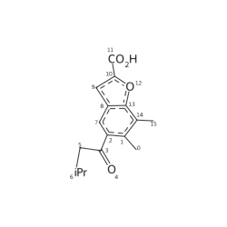 Cc1c(C(=O)CC(C)C)cc2cc(C(=O)O)oc2c1C